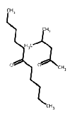 CC(=O)CC(C)C.CCCCCC(=O)CCCCC